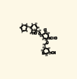 CC1C(c2ccccc2)=CC=CC1(O)COc1cc(OCc2cncc(C#N)c2)c(C=O)cc1Cl